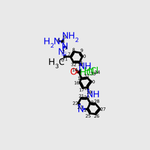 C/C(=N/N=C(N)N)c1cccc(NC(=O)c2ccc(Nc3ccnc4ccccc34)cc2)c1.Cl.Cl